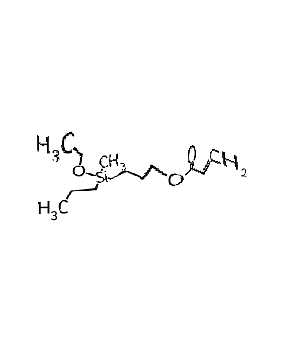 C=CC(=O)OCCCC[Si](C)(CCC)OCC